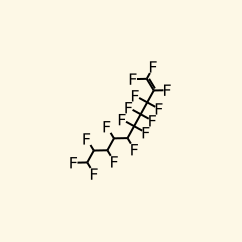 FC(F)=C(F)C(F)(F)C(F)(F)C(F)(F)C(F)C(F)C(F)C(F)C(F)F